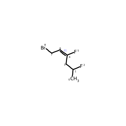 CC(F)C/C(F)=C\CBr